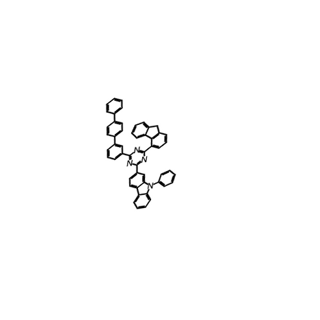 c1ccc(-c2ccc(-c3cccc(-c4nc(-c5ccc6c7ccccc7n(-c7ccccc7)c6c5)nc(-c5cccc6c5-c5ccccc5C6)n4)c3)cc2)cc1